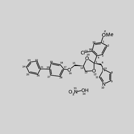 COc1ccc([C@]2(Cn3ccnc3)OC[C@@H](COc3ccc(-c4ccccc4)cc3)O2)c(Cl)c1.O=[N+]([O-])O